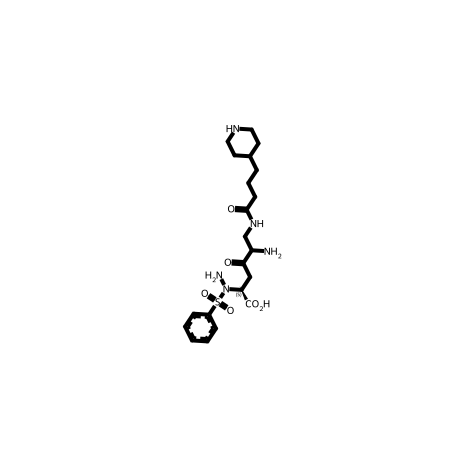 NC(CNC(=O)CCCC1CCNCC1)C(=O)C[C@@H](C(=O)O)N(N)S(=O)(=O)c1ccccc1